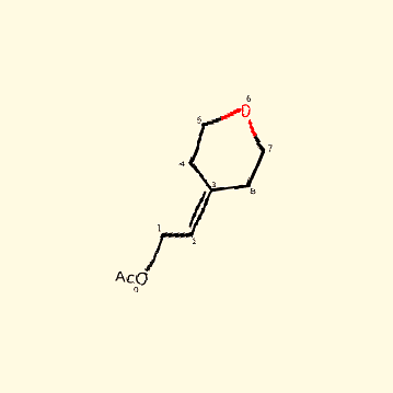 CC(=O)OCC=C1CCOCC1